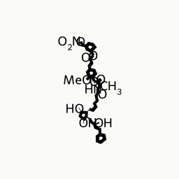 COc1cc(/C=C/C(=O)Oc2cccc(CO[N+](=O)[O-])c2)ccc1OC(=O)C(C)NC(=O)CCC/C=C\C[C@@H]1[C@@H](CC[C@@H](O)CCc2ccccc2)[C@H](O)C[C@@H]1O